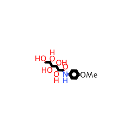 COc1ccc(NC(=O)[C@H](O)[C@@H](O)[C@H](O)[C@H](O)CO)cc1